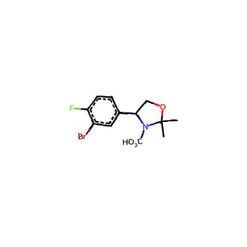 CC1(C)OCC(c2ccc(F)c(Br)c2)N1C(=O)O